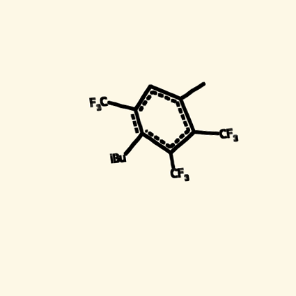 CCC(C)c1c(C(F)(F)F)cc(C)c(C(F)(F)F)c1C(F)(F)F